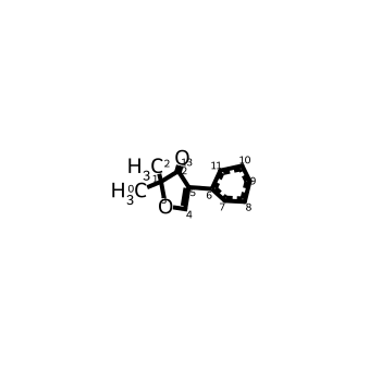 CC1(C)OC=C(c2ccccc2)C1=O